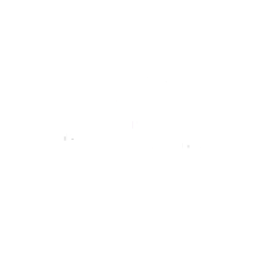 CC(=O)O.CCCCOP(=O)(OCCCC)OCCCC